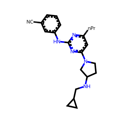 CCCc1cc(N2CCC(NCC3CC3)C2)nc(Nc2cccc(C#N)c2)n1